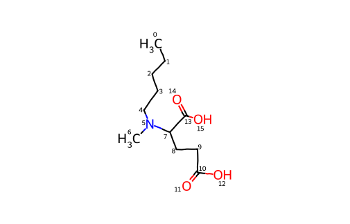 CCCCCN(C)C(CCC(=O)O)C(=O)O